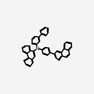 c1ccc(-c2cccc(N(c3ccc(-c4ccc5ccc6ccccc6c5c4)cc3)c3cc4ccccc4c4ccccc34)c2)cc1